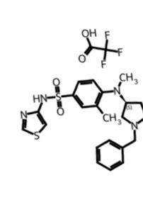 Cc1cc(S(=O)(=O)Nc2cscn2)ccc1N(C)[C@H]1CCN(Cc2ccccc2)C1.O=C(O)C(F)(F)F